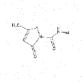 CCNC(=O)n1sc(C)cc1=O